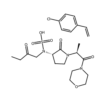 C=Cc1ccc(Cl)cc1.CCC(=O)CN([C@H]1CCN([C@@H](C)C(=O)N2CCOCC2)C1=O)S(=O)(=O)O